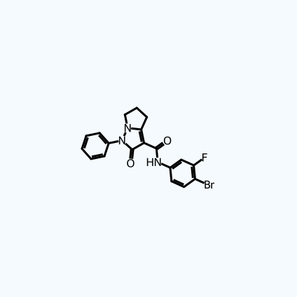 O=C(Nc1ccc(Br)c(F)c1)c1c2n(n(-c3ccccc3)c1=O)CCC2